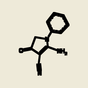 N#CC1=C(N)N(c2ccccc2)CC1=O